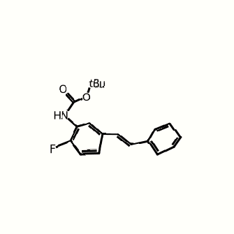 CC(C)(C)OC(=O)Nc1cc(C=Cc2ccccc2)ccc1F